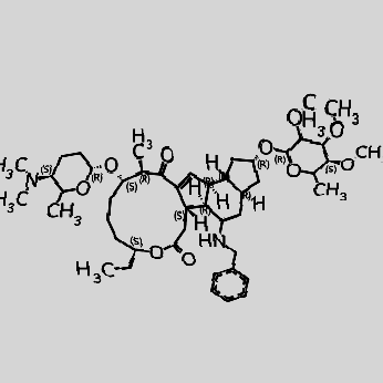 CC[C@H]1CCC[C@H](O[C@H]2CC[C@H](N(C)C)C(C)O2)[C@@H](C)C(=O)C2=C[C@H]3[C@@H]4C[C@H](O[C@@H]5OC(C)[C@H](OC)C(OC)C5OC)C[C@H]4CC(NCc4ccccc4)[C@H]3[C@@H]2CC(=O)O1